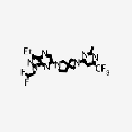 CCc1nn(CC(F)F)c2nc(N3CCC4(CN(c5cc(C(F)(F)F)nc(C)n5)C4)C3)cnc12